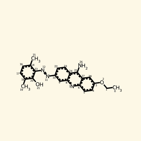 CCOc1ccc2nc3cc(N=Nc4c(C)ccc(C)c4O)ccc3c(N)c2c1